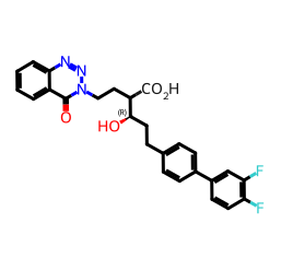 O=C(O)C(CCn1nnc2ccccc2c1=O)[C@H](O)CCc1ccc(-c2ccc(F)c(F)c2)cc1